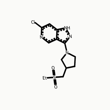 CCS(=O)(=O)CC1CCN(c2n[nH]c3cc(Cl)ncc23)C1